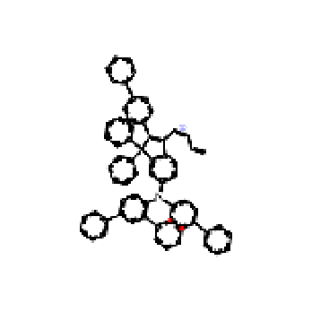 C=C/C=C\C1=C(c2ccc(-c3ccccc3)cc2)C(c2ccccc2)(c2ccccc2)c2cc(N(c3ccc(-c4ccccc4)cc3)c3ccc(-c4ccccc4)cc3-c3ccccc3)ccc21